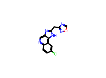 Clc1ccc2ncc3nc(Cc4ncon4)[nH]c3c2c1